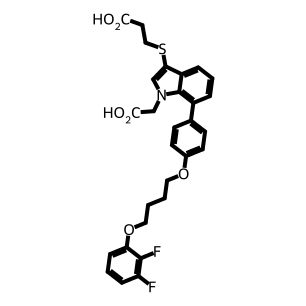 O=C(O)CCSc1cn(CC(=O)O)c2c(-c3ccc(OCCCCOc4cccc(F)c4F)cc3)cccc12